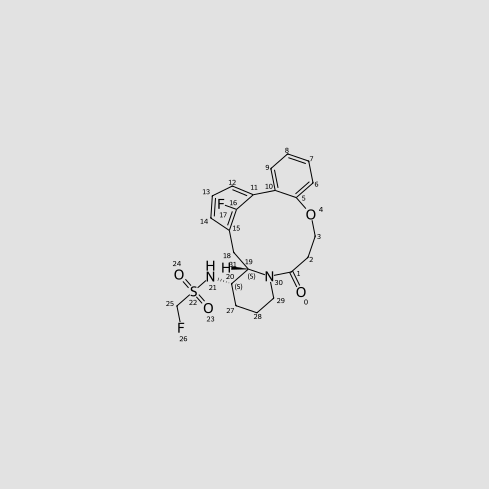 O=C1CCOc2ccccc2-c2cccc(c2F)C[C@H]2[C@@H](NS(=O)(=O)CF)CCCN12